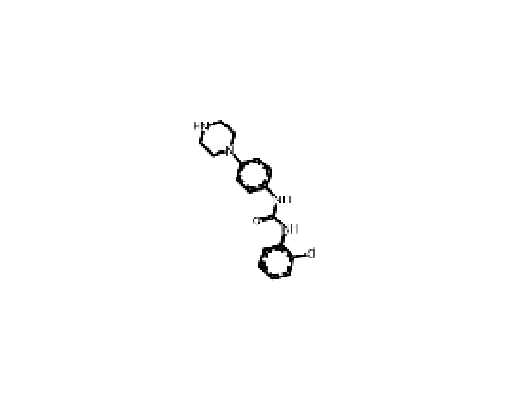 O=C(Nc1ccc(N2CCNCC2)cc1)Nc1ccccc1Cl